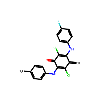 C=C1C(Cl)=C(Nc2ccc(C)cc2)C(=O)C(Cl)=C1Nc1ccc(F)cc1